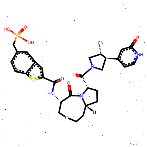 N#C[C@H]1CN(C(=O)[C@@H]2CC[C@@H]3CCCC[C@H](NC(=O)c4cc5cc(CP(=O)(O)O)ccc5s4)C(=O)N32)C[C@@H]1c1cc[nH]c(=O)c1